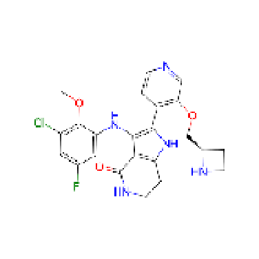 COc1c(Cl)cc(F)cc1Nc1c(-c2ccncc2OC[C@H]2CCN2)[nH]c2c1C(=O)NCC2